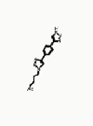 CC(=O)CCCCn1cc(-c2ccc(-c3c[nH]nn3)cc2)nn1